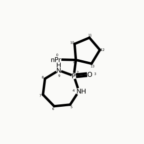 CCCC1(P2(=O)NCCCCN2)CCCC1